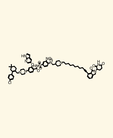 CC1(C)CCC(CN2CCN(c3ccc(C(=O)NS(=O)(=O)c4ccc(NCC5CCN(CCCCCCCCCC#Cc6cccc7c6C(=O)N(C6CCC(=O)NC6=O)C7)CC5)c([N+](=O)[O-])c4)c(Oc4cnc5[nH]ccc5c4)c3)CC2)=C(c2ccc(Cl)cc2)C1